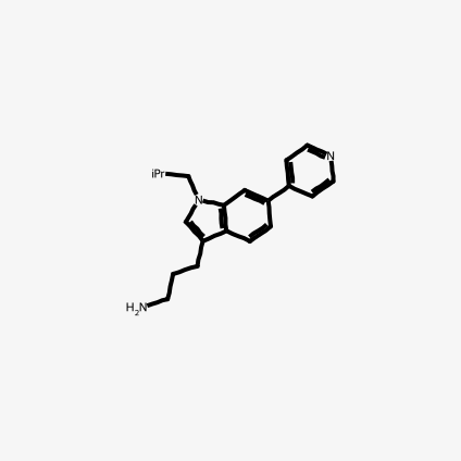 CC(C)Cn1cc(CCCN)c2ccc(-c3ccncc3)cc21